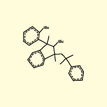 CC(C)(C)c1ccccc1C1(C)c2ccccc2C(C)(CC(C)(C)c2ccccc2)C1C(C)(C)C